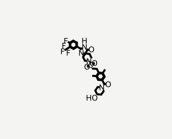 Cc1cc(C(=O)N2CCC(O)CC2)cc(C)c1CCS(=O)(=O)N1CCC2(CC1)N=C(c1ccc(F)c(C(F)(F)F)c1)NC2=O